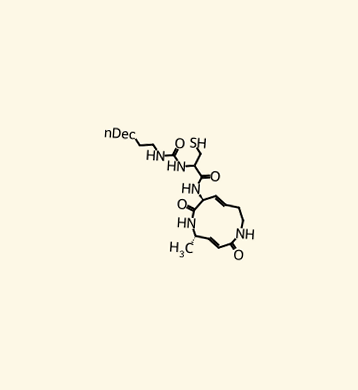 CCCCCCCCCCCCNC(=O)NC(CS)C(=O)N[C@H]1/C=C/CCNC(=O)/C=C/[C@H](C)NC1=O